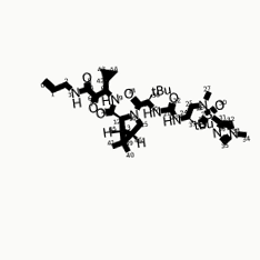 C=CCNC(=O)C(=O)C(NC(=O)[C@@H]1[C@@H]2[C@H](CN1C(=O)[C@@H](NC(=O)N[C@H](CN(C)S(=O)(=O)c1cn(C)cn1)C(C)(C)C)C(C)(C)C)C2(C)C)C1CC1